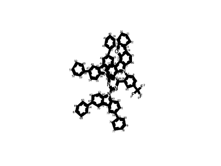 FC(F)(F)c1ccc(-n2c3ccccc3c3c4oc5ccccc5c4ccc32)c(-c2nc(-n3c4ccc(-c5ccccc5)cc4c4cc(-c5ccccc5)ccc43)nc(-n3c4ccc(-c5ccccc5)cc4c4cc(-c5ccccc5)ccc43)n2)c1